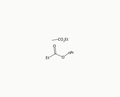 CCCOC(=O)CC.CCOC(C)=O